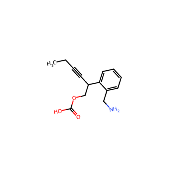 CCC#CC(COC(=O)O)c1ccccc1CN